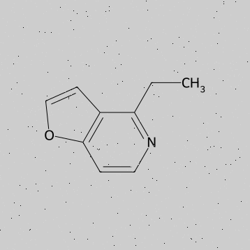 CCc1nccc2occc12